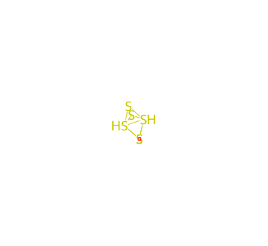 S1[SH]234S[SH]12(S3)S4